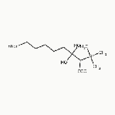 CCCCCCCCCCCCCCC(O)(O)C(C(=O)[O-])[N+](C)(C)C